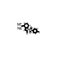 Cc1ccc(S(=O)(=O)n2c(C)cc3c2CCCC3=C(C#N)C#N)cc1